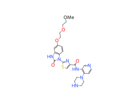 COCCOCCOc1ccc2c(c1)[nH]c(=O)n2-c1nc(C(=O)Nc2cnccc2N2CCNCC2)cs1